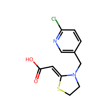 O=C(O)C=C1SCCN1Cc1ccc(Cl)nc1